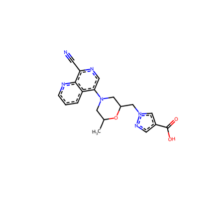 CC1CN(c2cnc(C#N)c3ncccc23)CC(Cn2cc(C(=O)O)cn2)O1